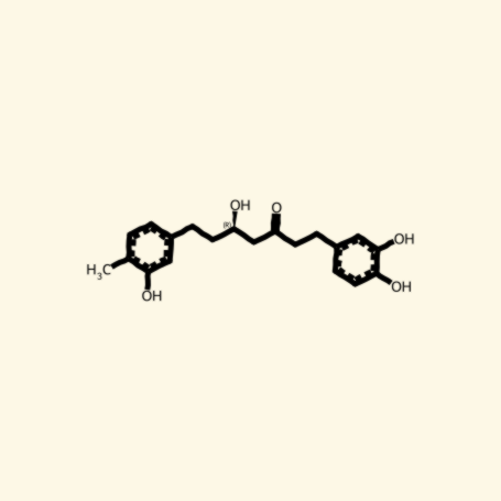 Cc1ccc(CC[C@@H](O)CC(=O)CCc2ccc(O)c(O)c2)cc1O